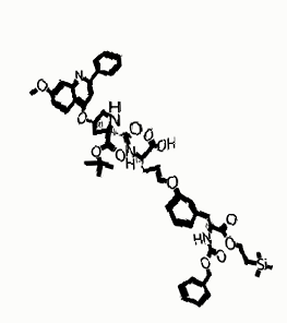 COc1ccc2c(O[C@H]3CN[C@@](C(=O)N[C@@H](CCCOc4cccc(C[C@H](NC(=O)OCc5ccccc5)C(=O)OCC[Si](C)(C)C)c4)C(=O)O)(C(=O)OC(C)(C)C)C3)cc(-c3ccccc3)nc2c1